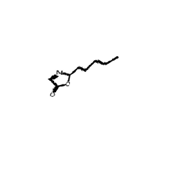 CCCCCC1N=CC(=O)O1